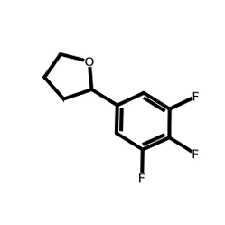 Fc1cc(C2[CH]CCO2)cc(F)c1F